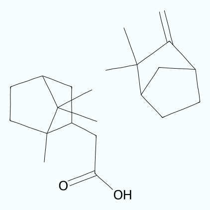 C=C1C2CCC(C2)C1(C)C.CC1(C)C2CCC1(C)C(CC(=O)O)C2